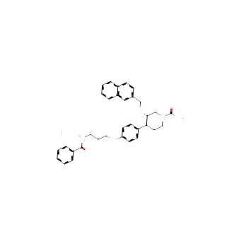 CN(CCCOc1ccc(C2CCN(C(=O)O)CC2OCc2ccc3ccccc3c2)cc1)C(=O)c1ccccc1